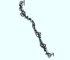 O=C(CSCSCSCCOOCSCSCOC(=O)CSCSCSCCOOCCSCCO)OCCSCCO